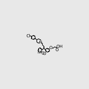 O=C(O)CCOc1ccc2c(c1)/C(=C/CCN1CCC(c3ccc(Cl)cc3)CC1)c1cccnc1CO2